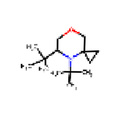 CC(C)(C)C1COCC2(CC2)N1C(C)(C)C